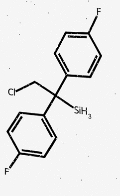 Fc1ccc(C([SiH3])(CCl)c2ccc(F)cc2)cc1